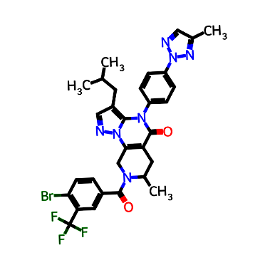 Cc1cnn(-c2ccc(-n3c(=O)c4c(n5ncc(CC(C)C)c35)CN(C(=O)c3ccc(Br)c(C(F)(F)F)c3)C(C)C4)cc2)n1